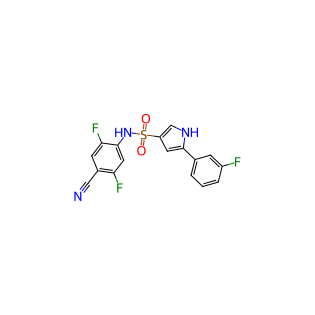 N#Cc1cc(F)c(NS(=O)(=O)c2c[nH]c(-c3cccc(F)c3)c2)cc1F